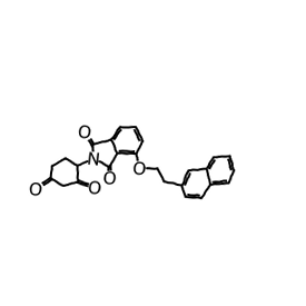 O=C1CCC(N2C(=O)c3cccc(OCCc4ccc5ccccc5c4)c3C2=O)C(=O)C1